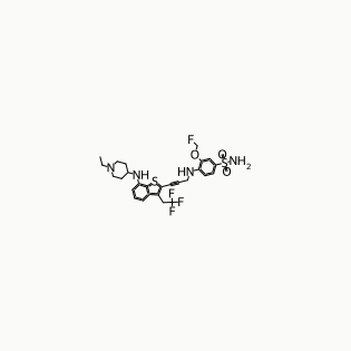 CCN1CCC(Nc2cccc3c(CC(F)(F)F)c(C#CCNc4ccc(S(N)(=O)=O)cc4OCF)sc23)CC1